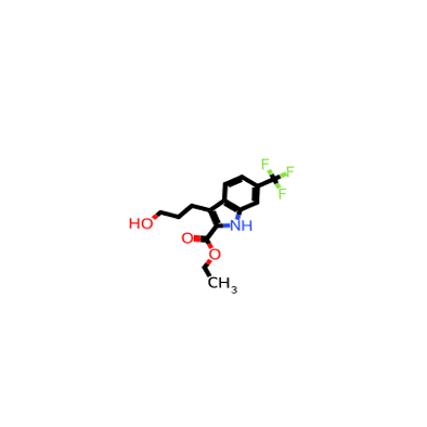 CCOC(=O)c1[nH]c2cc(C(F)(F)F)ccc2c1CCCO